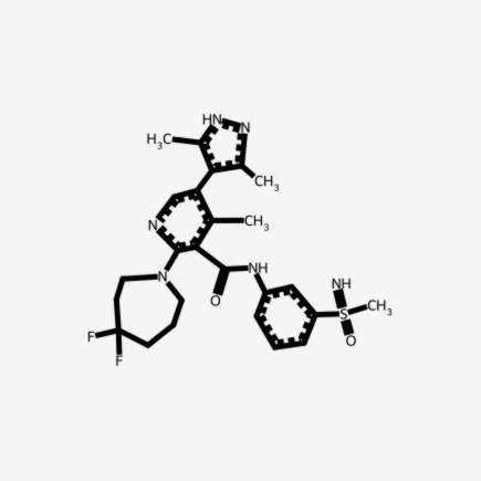 Cc1n[nH]c(C)c1-c1cnc(N2CCCC(F)(F)CC2)c(C(=O)Nc2cccc(S(C)(=N)=O)c2)c1C